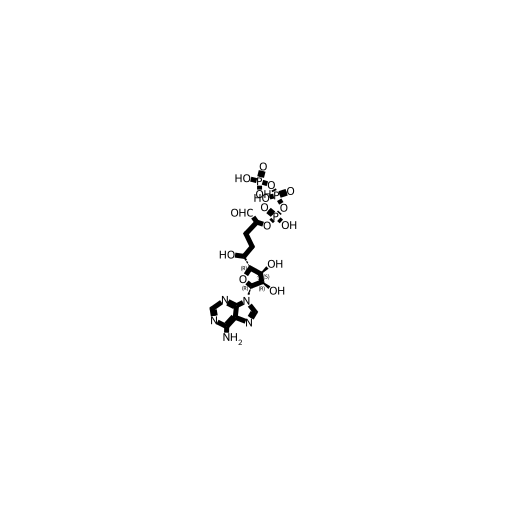 Nc1ncnc2c1ncn2[C@@H]1O[C@H](C(O)CCC(C=O)OP(=O)(O)OP(=O)(O)OP(=O)(O)O)[C@@H](O)[C@H]1O